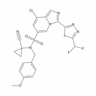 COc1ccc(CN(C2(C#N)CC2)S(=O)(=O)c2cc(Cl)c3cnc(-c4nnc(C(F)F)s4)n3c2)cc1